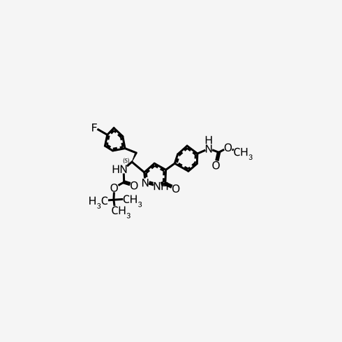 COC(=O)Nc1ccc(-c2cc([C@H](Cc3ccc(F)cc3)NC(=O)OC(C)(C)C)n[nH]c2=O)cc1